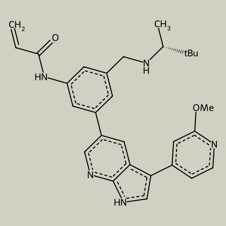 C=CC(=O)Nc1cc(CN[C@H](C)C(C)(C)C)cc(-c2cnc3[nH]cc(-c4ccnc(OC)c4)c3c2)c1